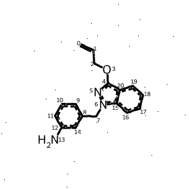 C=CCOc1nn(Cc2cccc(N)c2)c2ccccc12